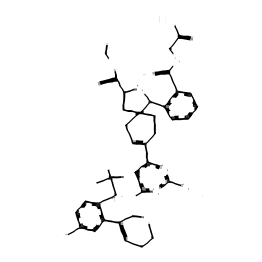 CCOC(=O)C1CC2(CC=C(c3cc(O[C@H](c4ccc(Cl)cc4C4=CCCOC4)C(F)(F)F)nc(N)n3)CC2)C(c2ccccc2C(=O)NCC(=O)O)N1